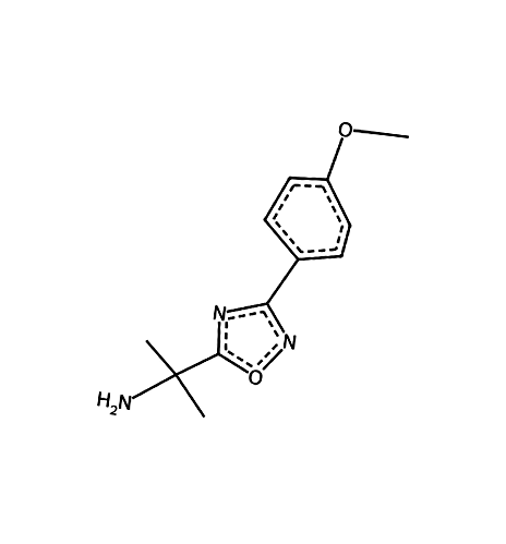 COc1ccc(-c2noc(C(C)(C)N)n2)cc1